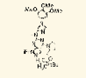 COc1cc(-n2cnc(Nc3nc(N4CCCC4CO[Si](C)(C)C(C)(C)C)c4cnn(C(C)C)c4n3)c2)cc(OC)c1OC